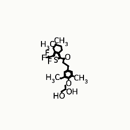 CCc1cc(CCC(=O)c2sc(C(F)(F)F)c3c2CCC(C)(C)C3)cc(C)c1OC[C@H](O)CO